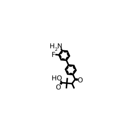 CC(C(=O)c1ccc(-c2ccc(N)c(F)c2)cc1)C(C)(C)C(=O)O